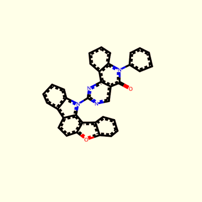 O=c1c2cnc(-n3c4ccccc4c4ccc5oc6ccccc6c5c43)nc2c2ccccc2n1-c1ccccc1